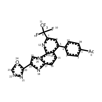 CC(=O)c1ccc(-c2cc(C(F)(F)C(F)(F)F)nc3c2ccc2nc(-c4nnco4)cn23)cc1